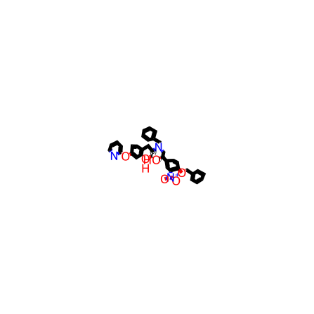 O=[N+]([O-])c1cc([C@@H](O)CN(Cc2ccccc2)[C@H](CO)Cc2ccc(Oc3ccccn3)cc2)ccc1OCc1ccccc1